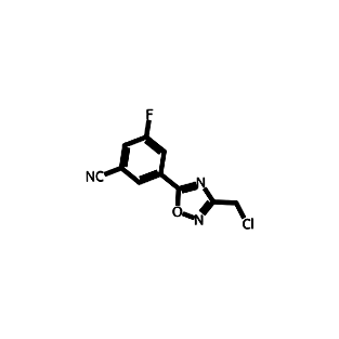 N#Cc1cc(F)cc(-c2nc(CCl)no2)c1